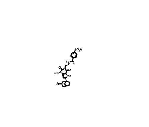 CCCn1c(=O)n(CCNC(=O)c2ccc(S(=O)(=O)O)cc2)c(=O)c2[nH]c(C34CCC(CC(CC)C3)C4)nc21